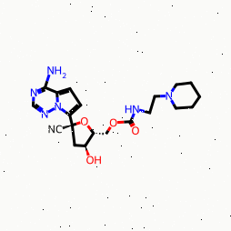 N#C[C@]1(c2ccc3c(N)ncnn23)C[C@H](O)[C@@H](COC(=O)NCCN2CCCCC2)O1